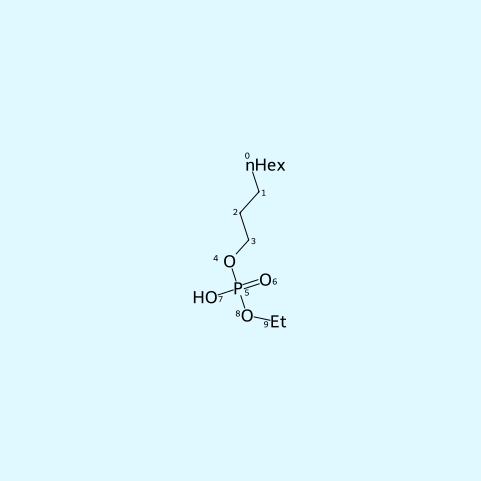 CCCCCCCCCOP(=O)(O)OCC